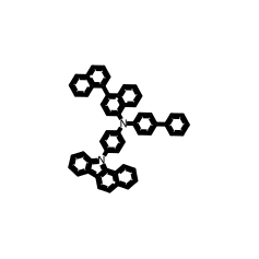 c1ccc(-c2ccc(N(c3ccc(-n4c5ccccc5c5ccc6ccccc6c54)cc3)c3ccc(-c4cccc5ccccc45)c4ccccc34)cc2)cc1